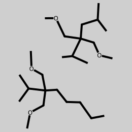 CCCCCC(COC)(COC)C(C)C.COCC(COC)(CC(C)C)C(C)C